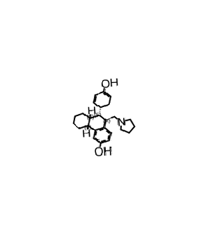 OC1=CCC([C@H]2[C@H]3CCCC[C@H]3c3cc(O)ccc3[C@@H]2CN2CCCC2)C=C1